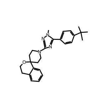 Cn1nc(N2CCC3(CC2)OCCc2ccccc23)nc1-c1ccc(C(C)(C)C)cc1